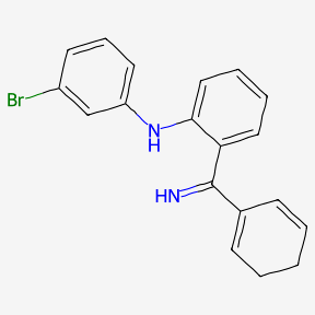 N=C(C1=CCCC=C1)c1ccccc1Nc1cccc(Br)c1